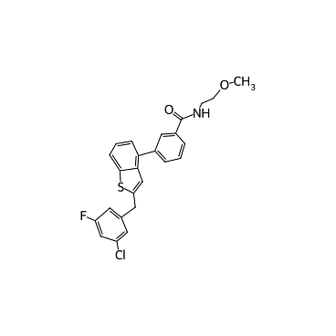 COCCNC(=O)c1cccc(-c2cccc3sc(Cc4cc(F)cc(Cl)c4)cc23)c1